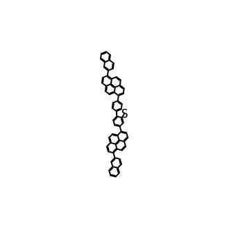 c1ccc2cc(-c3ccc4ccc5c(-c6ccc7c(c6)sc6cc(-c8ccc9ccc%10c(-c%11ccc%12ccccc%12c%11)ccc%11ccc8c9c%11%10)ccc67)ccc6ccc3c4c65)ccc2c1